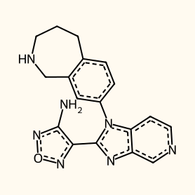 Nc1nonc1-c1nc2cnccc2n1-c1ccc2c(c1)CNCCC2